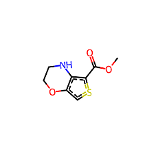 COC(=O)c1scc2c1NCCO2